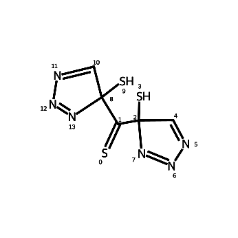 S=C(C1(S)C=NN=N1)C1(S)C=NN=N1